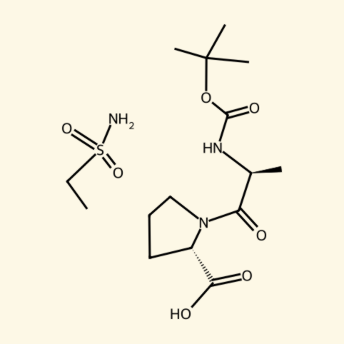 CCS(N)(=O)=O.C[C@H](NC(=O)OC(C)(C)C)C(=O)N1CCC[C@H]1C(=O)O